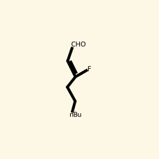 CCCCCC/C(F)=C/C=O